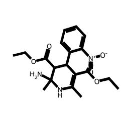 CCOC(=O)C1=C(C)NC(C)(N)C(C(=O)OCC)C1c1ccccc1[N+](=O)[O-]